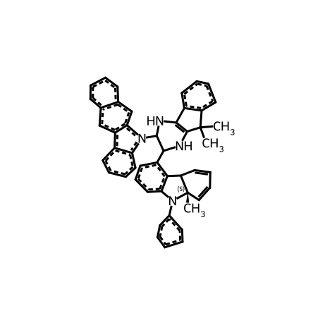 CC1(C)C2=C(NC(n3c4ccccc4c4cc5ccccc5cc43)C(c3cccc4c3C3C=CC=C[C@]3(C)N4c3ccccc3)N2)c2ccccc21